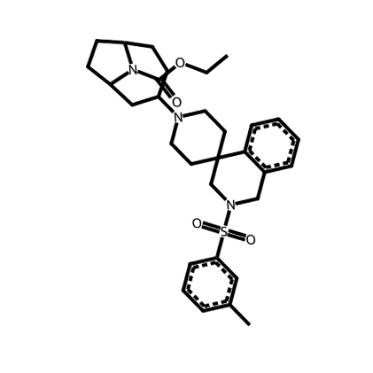 CCOC(=O)N1C2CCC(N3CCC4(CC3)CN(S(=O)(=O)c3cccc(C)c3)Cc3ccccc34)CC1CC2